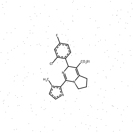 CCOC(=O)C1=C2CCCN2C(c2nccn2C)=NC1c1ccc(F)cc1Cl